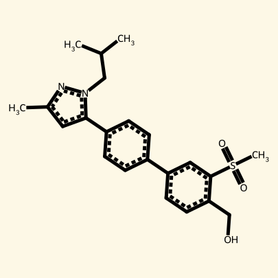 Cc1cc(-c2ccc(-c3ccc(CO)c(S(C)(=O)=O)c3)cc2)n(CC(C)C)n1